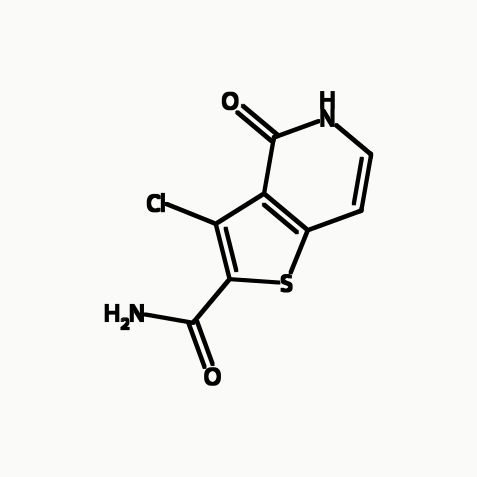 NC(=O)c1sc2cc[nH]c(=O)c2c1Cl